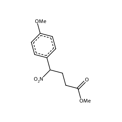 COC(=O)CCC(c1ccc(OC)cc1)[N+](=O)[O-]